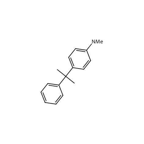 CNc1ccc(C(C)(C)c2ccccc2)cc1